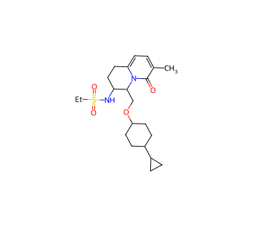 CCS(=O)(=O)NC1CCc2ccc(C)c(=O)n2C1COC1CCC(C2CC2)CC1